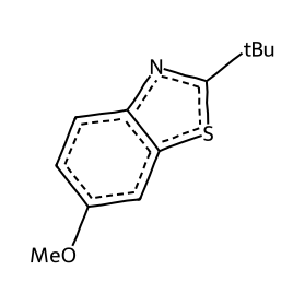 COc1ccc2nc(C(C)(C)C)sc2c1